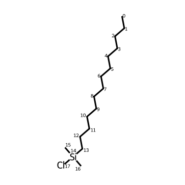 CCCCCCCCCCCCCC[Si](C)(C)Cl